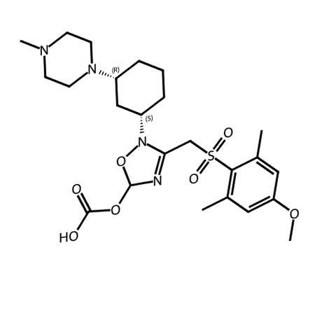 COc1cc(C)c(S(=O)(=O)CC2=NC(OC(=O)O)ON2[C@H]2CCC[C@@H](N3CCN(C)CC3)C2)c(C)c1